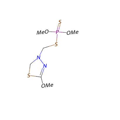 COC1=NN(CSP(=S)(OC)OC)CS1